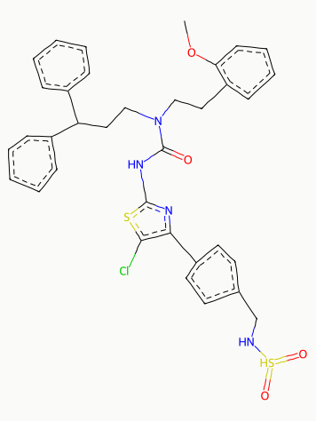 COc1ccccc1CCN(CCC(c1ccccc1)c1ccccc1)C(=O)Nc1nc(-c2ccc(CN[SH](=O)=O)cc2)c(Cl)s1